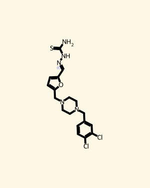 NC(=S)N/N=C/c1ccc(CN2CCN(Cc3ccc(Cl)c(Cl)c3)CC2)o1